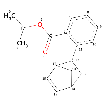 CC(C)OC(=O)c1ccccc1C1CC2C=CC1C2